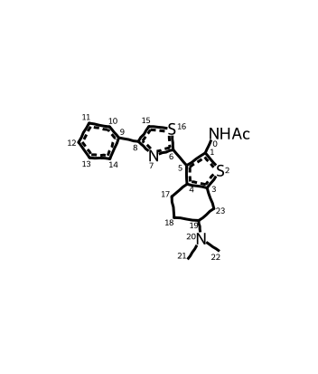 CC(=O)Nc1sc2c(c1-c1nc(-c3ccccc3)cs1)CCC(N(C)C)C2